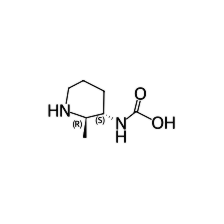 C[C@H]1NCCC[C@@H]1NC(=O)O